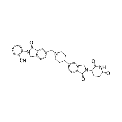 N#Cc1ccccc1N1Cc2ccc(CN3CCC(c4ccc5c(c4)CN(C4CCC(=O)NC4=O)C5=O)CC3)cc2C1=O